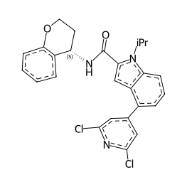 CC(C)n1c(C(=O)N[C@H]2CCOc3ccccc32)cc2c(-c3cc(Cl)nc(Cl)c3)cccc21